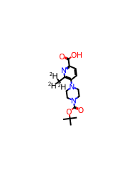 [2H]C([2H])([2H])c1nc(C(=O)O)ccc1N1CCN(C(=O)OC(C)(C)C)CC1